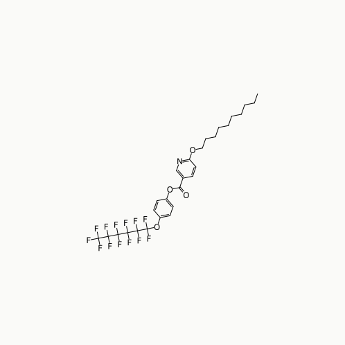 CCCCCCCCCCOc1ccc(C(=O)Oc2ccc(OC(F)(F)C(F)(F)C(F)(F)C(F)(F)C(F)(F)C(F)(F)F)cc2)cn1